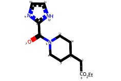 CCOC(=O)CC1CCN(C(=O)c2ncc[nH]2)CC1